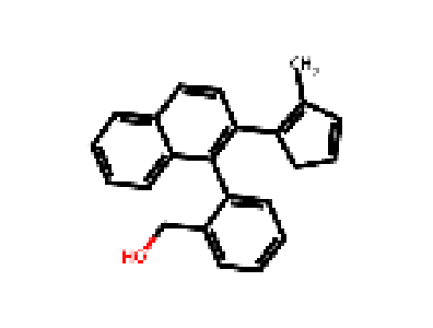 CC1=C(c2ccc3ccccc3c2-c2ccccc2CO)CC=C1